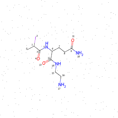 CC(I)C(=O)NC(CCC(N)=O)C(=O)NCCN